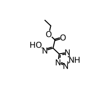 CCOC(=O)C(=NO)c1nn[nH]n1